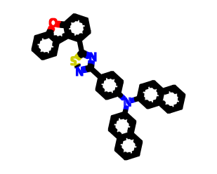 c1ccc2cc(N(c3ccc(-c4nsc(-c5cccc6oc7ccccc7c56)n4)cc3)c3ccc4ccccc4c3)ccc2c1